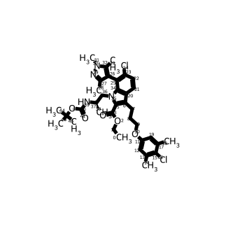 CCOC(=O)c1c(CCCOc2cc(C)c(Cl)c(C)c2)c2ccc(Cl)c(-c3c(C)nn(C)c3C)c2n1C[C@@H](C)NC(=O)OC(C)(C)C